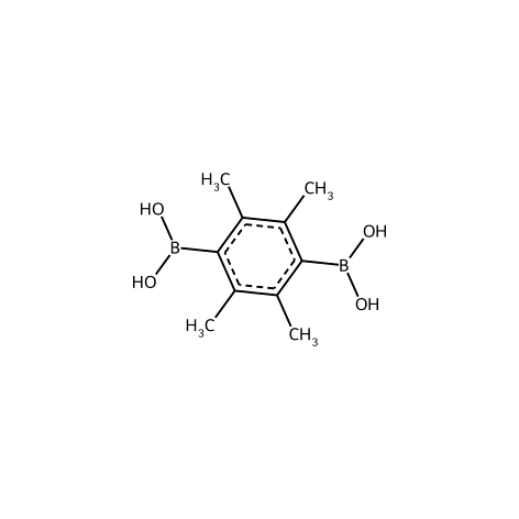 Cc1c(C)c(B(O)O)c(C)c(C)c1B(O)O